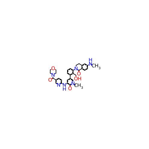 CNc1ccc2c(c1)CCN(c1cccc(-c3cc(Nc4ccc(C(=O)N5CCOCC5)cn4)c(=O)n(C)c3)c1CO)C2=O